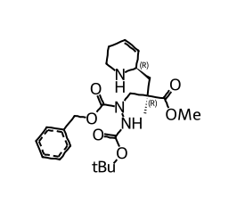 COC(=O)[C@](C)(C[C@@H]1C=CCCN1)CN(NC(=O)OC(C)(C)C)C(=O)OCc1ccccc1